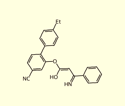 CCc1ccc(-c2ccc(C#N)cc2O/C(O)=C/C(=N)c2ccccc2)cc1